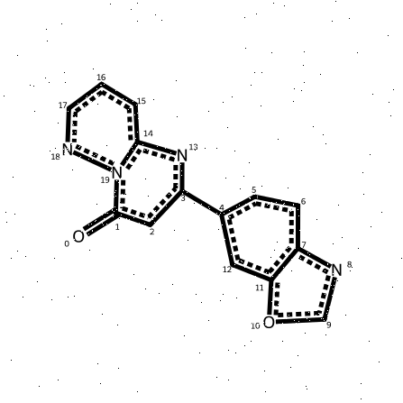 O=c1cc(-c2ccc3ncoc3c2)nc2cccnn12